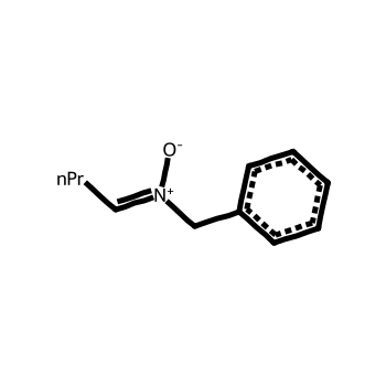 CCCC=[N+]([O-])Cc1ccccc1